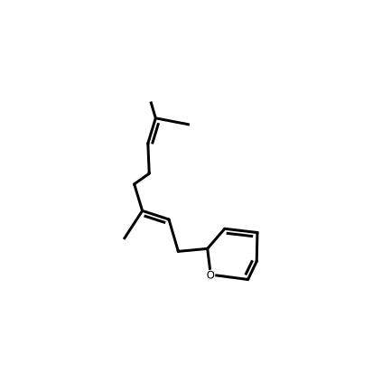 CC(C)=CCC/C(C)=C/CC1C=CC=CO1